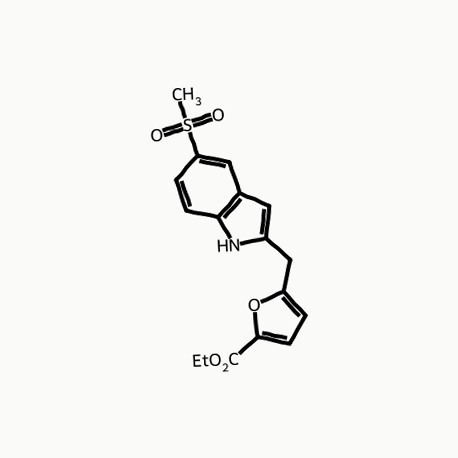 CCOC(=O)c1ccc(Cc2cc3cc(S(C)(=O)=O)ccc3[nH]2)o1